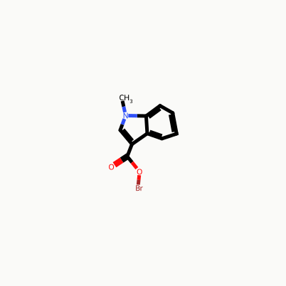 Cn1cc(C(=O)OBr)c2ccccc21